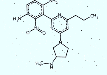 CCCc1cc(N2CCC(NC)C2)nc(-c2c(N)ccc(N)c2[N+](=O)[O-])n1